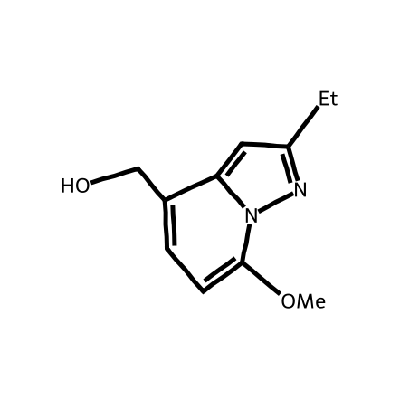 CCc1cc2c(CO)ccc(OC)n2n1